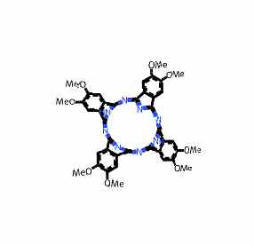 COc1cc2c(cc1OC)-c1nc-2nc2[nH]c(nc3nc(nc4[nH]c(n1)c1cc(OC)c(OC)cc41)-c1cc(OC)c(OC)cc1-3)c1cc(OC)c(OC)cc21